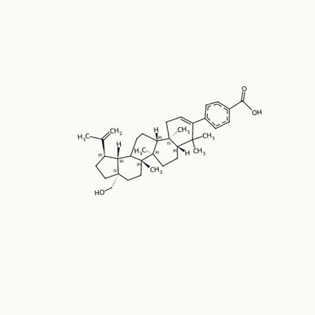 C=C(C)[C@@H]1CC[C@]2(CO)CC[C@]3(C)C(CC[C@@H]4[C@@]5(C)CC=C(c6ccc(C(=O)O)cc6)C(C)(C)[C@@H]5CC[C@]43C)[C@@H]12